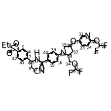 CCS(=O)(=O)c1ccc([C@H](CC#N)NC(=O)c2ccc(N3C[C@@H](Oc4ccc(OC(F)F)nc4)C[C@H]3COC(F)F)cc2)cc1